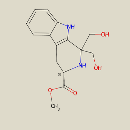 COC(=O)[C@@H]1Cc2c([nH]c3ccccc23)C(CO)(CO)N1